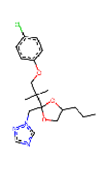 CCCC1COC(Cn2cncn2)(C(C)(C)COc2ccc(Cl)cc2)O1